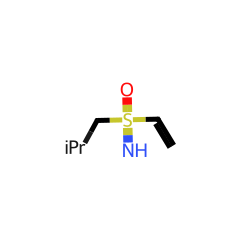 C=CS(=N)(=O)CC(C)C